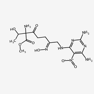 COC(=O)C(N)(C(=O)CCC(CNc1nc(N)nc(N)c1[N+](=O)[O-])=NO)C(C)O